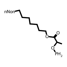 CCCCCCCCCCCCCCCCOC(=O)C(C)OP